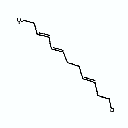 CCC=CC=CCCC=CCCCl